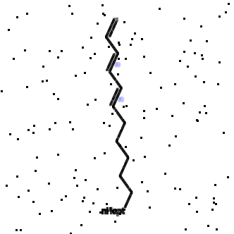 [CH]=C/C=C/C=C/CCCCCCCCCCCC